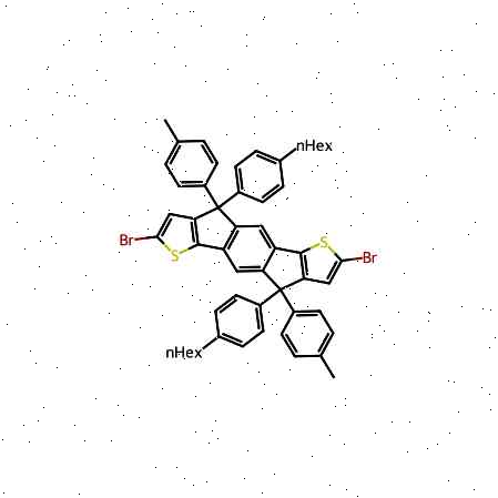 CCCCCCc1ccc(C2(c3ccc(C)cc3)c3cc4c(cc3-c3sc(Br)cc32)C(c2ccc(C)cc2)(c2ccc(CCCCCC)cc2)c2cc(Br)sc2-4)cc1